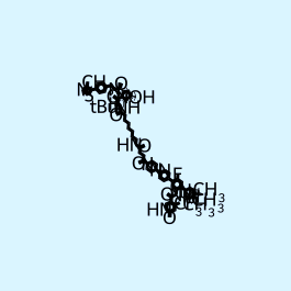 Cc1ncsc1-c1ccc(CNC(=O)[C@@H]2C[C@@H](O)CN2C(=O)[C@@H](NC(=O)CCCCCCCNC(=O)CCC(=O)N2CCN(c3ccc(-c4cc(NC(=O)c5c[nH]c(=O)cc5C(F)(F)F)c(N5C[C@@H](C)N(C)[C@@H](C)C5)cc4F)cn3)CC2)C(C)(C)C)cc1